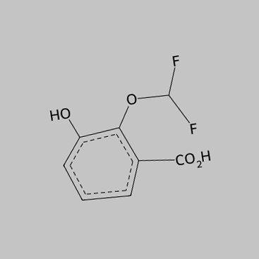 O=C(O)c1cccc(O)c1OC(F)F